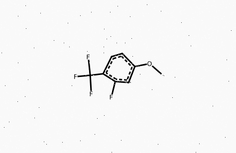 COc1[c]c(F)c(C(F)(F)F)cc1